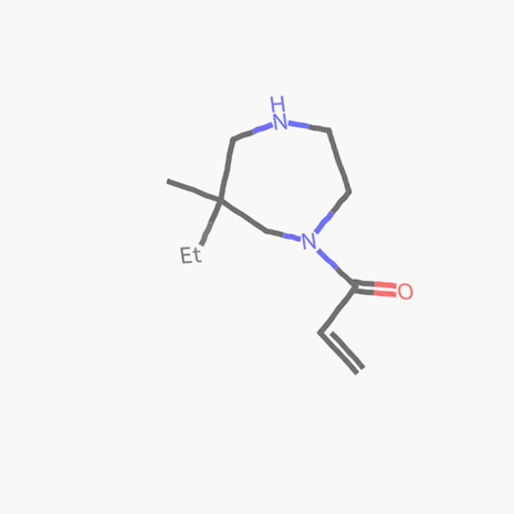 C=CC(=O)N1CCNCC(C)(CC)C1